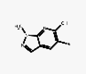 Cn1ncc2cc(Br)c(O)nc21